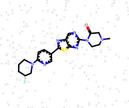 CN1CCN(c2ncc3nc(-c4ccc(N5CCC[C@@H](F)C5)nc4)sc3n2)C(=O)C1